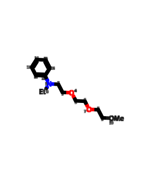 CCN(CCOCCOCCOC)c1ccccc1